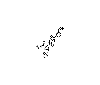 NC(=O)c1nn(CC2OCCO2)cc1NC(=O)c1coc(-c2ccnc(CO)c2)n1